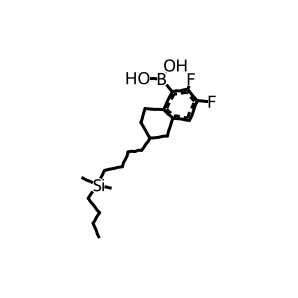 CCCC[Si](C)(C)CCCCC1CCc2c(cc(F)c(F)c2B(O)O)C1